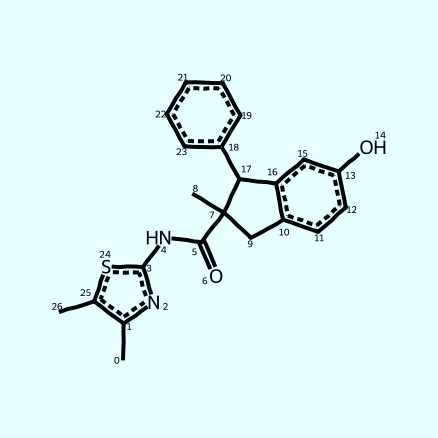 Cc1nc(NC(=O)C2(C)Cc3ccc(O)cc3C2c2ccccc2)sc1C